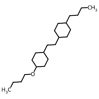 CCCCOC1CCC(CCC2CCC(CCCC)CC2)CC1